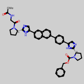 COC(=O)NCC(=O)N1CCC[C@H]1c1ncc(-c2ccc3cc(-c4ccc(-c5cnc([C@@H]6CCCN6C(=O)OCc6ccccc6)[nH]5)cc4)ccc3c2)[nH]1